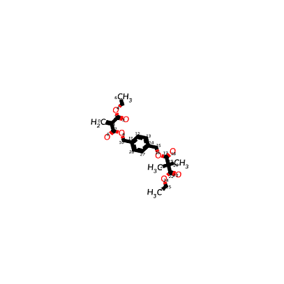 C=C(C(=O)OCC)C(=O)OCc1ccc(COC(=O)C(C)(C)C(=O)OCC)cc1